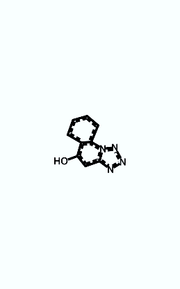 Oc1cc2nnnn2c2ccccc12